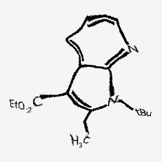 CCOC(=O)c1c(C)n(C(C)(C)C)c2ncccc12